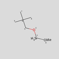 [CH2]O[SiH2]OCC(C)(C)C